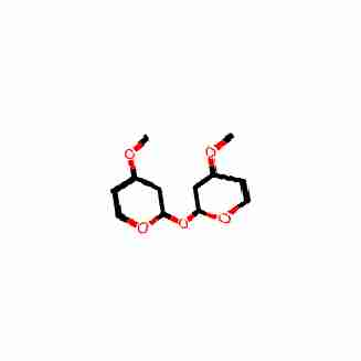 COC1CCOC(OC2CC(OC)CCO2)C1